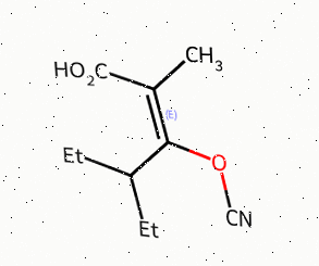 CCC(CC)/C(OC#N)=C(/C)C(=O)O